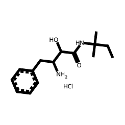 CCC(C)(C)NC(=O)C(O)C(N)Cc1ccccc1.Cl